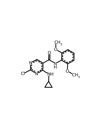 COc1cccc(OC)c1NC(=O)c1cnc(Cl)nc1NC1CC1